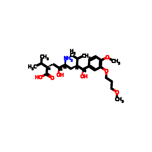 COCCCOc1cc([C@H](O)[C@@H](C[C@H](N)[C@@H](O)C[C@H](C(=O)O)C(C)C)C(C)C)ccc1OC